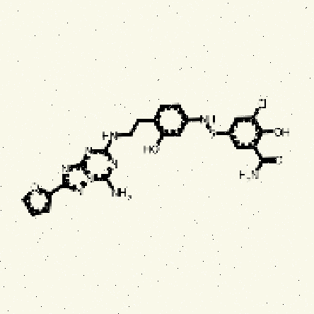 NC(=O)c1cc(SNc2ccc(CCNc3nc(N)n4nc(-c5ccco5)nc4n3)c(O)c2)cc(Cl)c1O